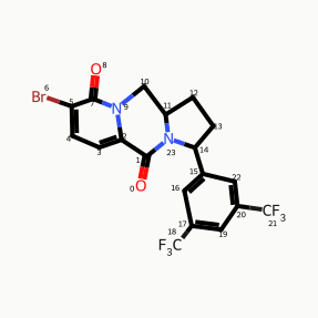 O=C1c2ccc(Br)c(=O)n2CC2CCC(c3cc(C(F)(F)F)cc(C(F)(F)F)c3)N12